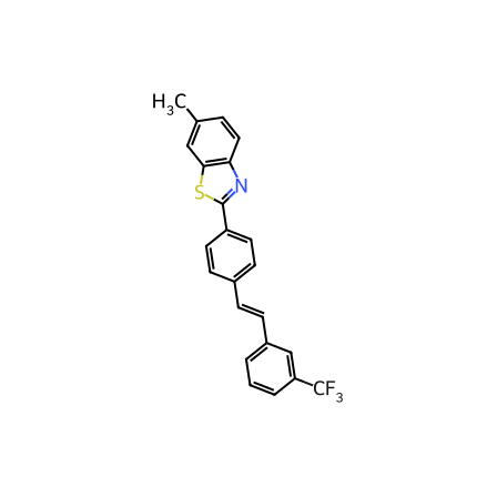 Cc1ccc2nc(-c3ccc(/C=C/c4cccc(C(F)(F)F)c4)cc3)sc2c1